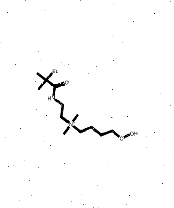 CCC(C)(C)C(=O)NCC[N+](C)(C)CCCCOO